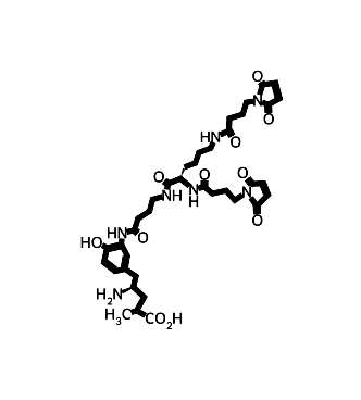 CC(C[C@@H](N)Cc1ccc(O)c(NC(=O)CCCNC(=O)[C@H](CCCCNC(=O)CCCN2C(=O)C=CC2=O)NC(=O)CCCN2C(=O)C=CC2=O)c1)C(=O)O